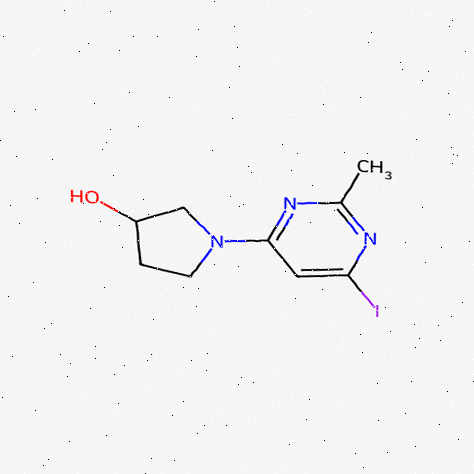 Cc1nc(I)cc(N2CCC(O)C2)n1